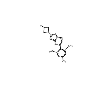 Cc1cc(C(F)(F)F)cc(O)c1-c1cnc2cn(C3CC(F)C3)nc2n1